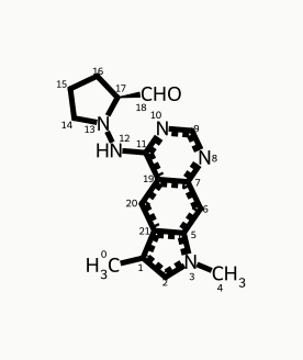 Cc1cn(C)c2cc3ncnc(NN4CCC[C@H]4C=O)c3cc12